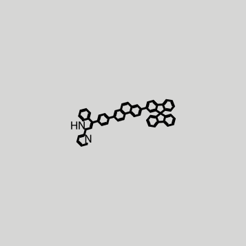 C1=C(c2ccc(-c3ccc4c(ccc5cc(-c6ccc7c(c6)C6(c8ccccc8-c8ccccc86)c6ccccc6-7)ccc54)c3)cc2)c2ccccc2NC1c1ccccn1